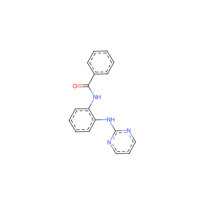 O=C(Nc1ccccc1Nc1ncccn1)c1ccccc1